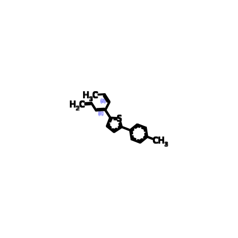 C=C/C=C(\C=C/C)c1ccc(-c2ccc(C)cc2)s1